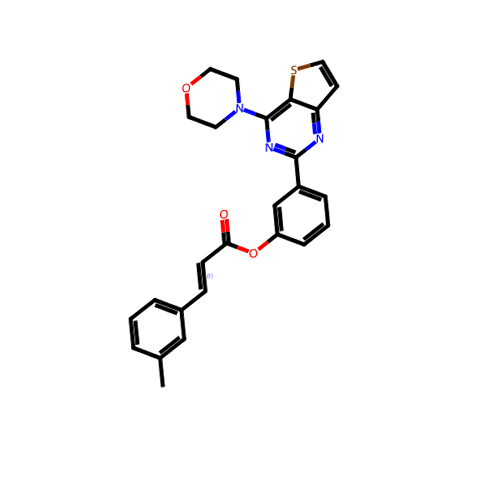 Cc1cccc(/C=C/C(=O)Oc2cccc(-c3nc(N4CCOCC4)c4sccc4n3)c2)c1